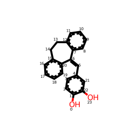 Oc1ccc(C=C2c3ccccc3CCc3ccccc32)cc1O